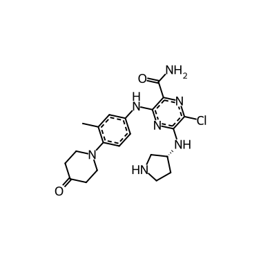 Cc1cc(Nc2nc(N[C@@H]3CCNC3)c(Cl)nc2C(N)=O)ccc1N1CCC(=O)CC1